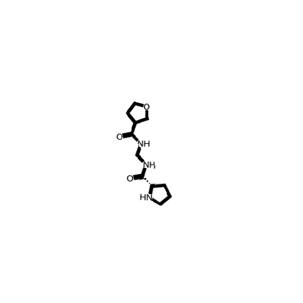 O=C(NCNC(=O)[C@@H]1CCCN1)C1CCOC1